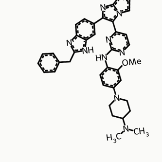 COc1cc(N2CCC(N(C)C)CC2)ccc1Nc1nccc(-c2c(-c3ccc4nc(Cc5ccccc5)[nH]c4c3)nc3sccn23)n1